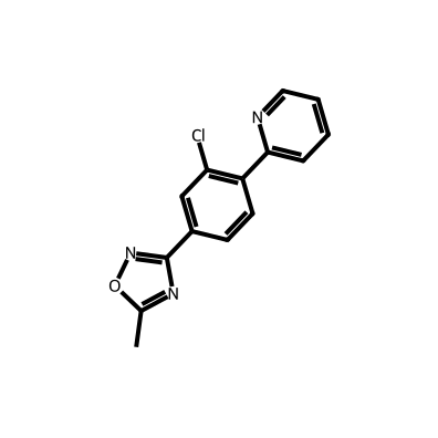 Cc1nc(-c2ccc(-c3ccccn3)c(Cl)c2)no1